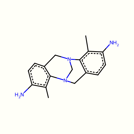 Cc1c(N)ccc2c1N1Cc3ccc(N)c(C)c3N(C2)C1